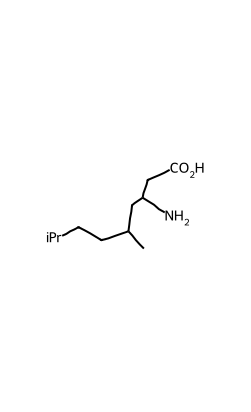 CC(C)CCC(C)CC(N)CC(=O)O